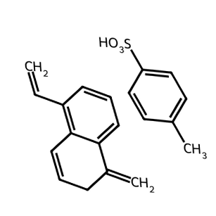 C=Cc1cccc2c1C=CCC2=C.Cc1ccc(S(=O)(=O)O)cc1